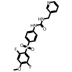 COc1cc(F)c(S(=O)(=O)c2ccc(NC(=O)NCc3cccnc3)cc2)cc1F